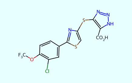 O=C(O)c1[nH]nnc1Sc1csc(-c2ccc(OC(F)(F)F)c(Cl)c2)n1